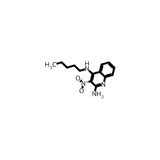 CCCCCNc1c([N+](=O)[O-])c(N)nc2ccccc12